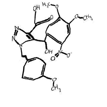 COc1ccc(Cn2nnc(C(=O)O)c2C(O)c2cc(OC)c(OC)cc2[N+](=O)[O-])cc1